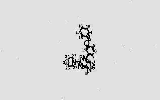 Cn1cnc2c(-c3cccc(OCc4ccccc4)c3)nc(N3CCOCC3)nc21